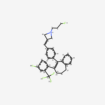 FCCCN1CC(=Cc2ccc(C3=C(c4ccc(F)cc4C(F)(F)F)CCCc4ccccc43)cc2)C1